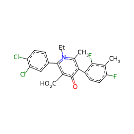 CCn1c(C)c(-c2ccc(F)c(C)c2F)c(=O)c(C(=O)O)c1-c1ccc(Cl)c(Cl)c1